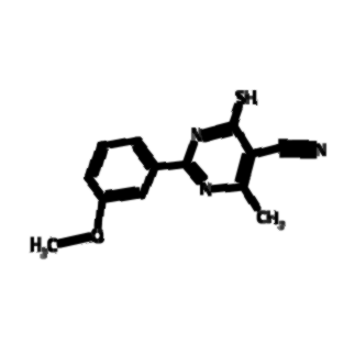 COc1cccc(-c2nc(C)c(C#N)c(S)n2)c1